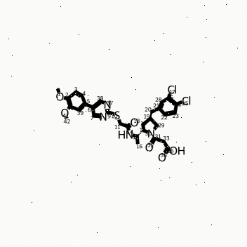 COc1ccc(-c2cnc(SCC(=O)NC(C)[C@@H]3C[C@@H](Cc4ccc(Cl)c(Cl)c4)CN3C(=O)CC(=O)O)nc2)cc1OC